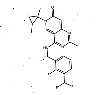 Cc1nc(N[C@@H](C)c2cccc(C(F)F)c2F)c2cn(C3(C)CC3C)c(=O)cc2n1